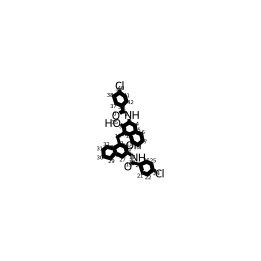 O=C(Nc1cc2ccccc2c(Cc2c(O)c(NC(=O)c3ccc(Cl)cc3)cc3ccccc23)c1O)c1ccc(Cl)cc1